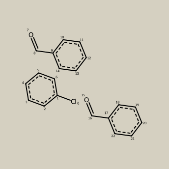 Clc1ccccc1.O=Cc1ccccc1.O=Cc1ccccc1